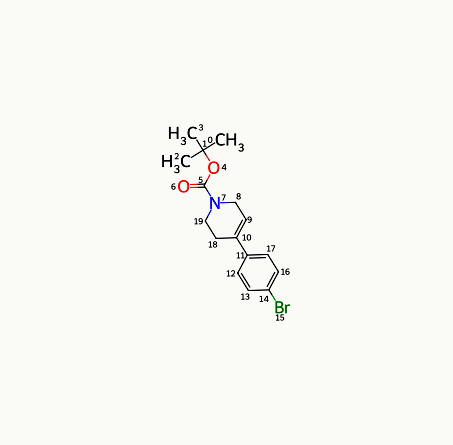 CC(C)(C)OC(=O)N1CC=C(c2ccc(Br)cc2)CC1